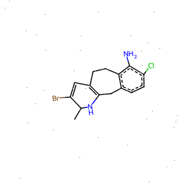 CC1NC2=C(C=C1Br)CCc1c(ccc(Cl)c1N)C2